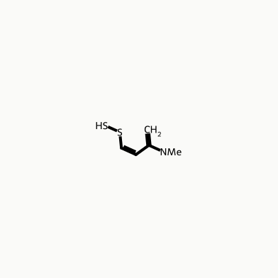 C=C(/C=C\SS)NC